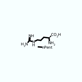 CCCCCC.N=C(N)NCCC[C@H](N)C(=O)O